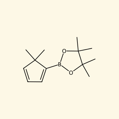 CC1(C)C=CC=C1B1OC(C)(C)C(C)(C)O1